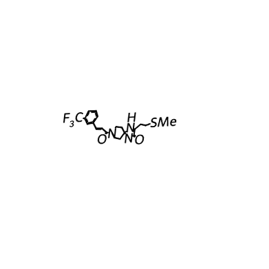 CSCCC1NC2(CCN(C(=O)/C=C/c3cccc(C(F)(F)F)c3)CC2)N(C)C1=O